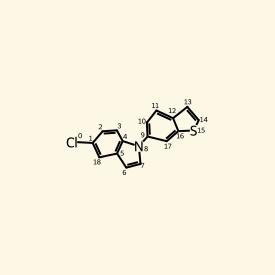 Clc1ccc2c(ccn2-c2ccc3ccsc3c2)c1